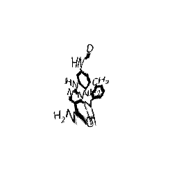 Cc1cccc(Nc2nc(N[C@@H]3C[C@@H](NC=O)CC[C@@H]3N)ncc2C(N)=O)c1